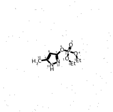 CCOP(=O)(OCC)Oc1cc(C)[nH]n1